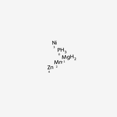 P.[MgH2].[Mn].[Ni].[Zn]